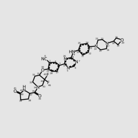 N#Cc1cc(-c2ncnc(Nc3ccc(N4CCN(C5COC5)CC4)cc3)n2)ccc1OC1CCN(C(=O)C2CCC(=O)N2)CC1(F)F